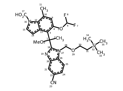 COC(C)(c1c(OC(F)F)cc(C)c2c1ccn2C(=O)O)c1nc2cc(C#N)ccc2n1COCC[Si](C)(C)C